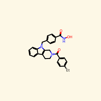 CCc1ccc(C(=O)N2CCc3c(n(Cc4ccc(C(=O)NO)cc4)c4ccccc34)C2)cc1